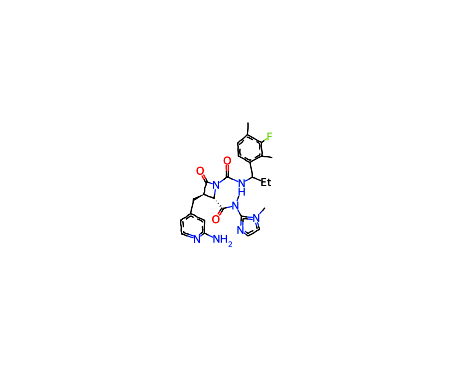 CCC(NC(=O)N1C(=O)[C@H](Cc2ccnc(N)c2)[C@H]1C(=O)N(C)c1nccn1C)c1ccc(C)c(F)c1C